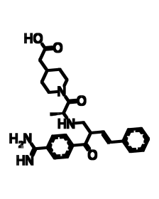 C[C@H](NCC(C=Cc1ccccc1)C(=O)c1ccc(C(=N)N)cc1)C(=O)N1CCC(CC(=O)O)CC1